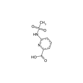 CS(=O)(=O)Nc1cccc(C(=O)O)n1